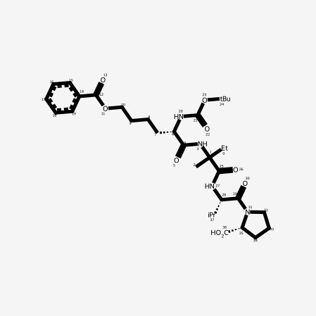 CCC(C)(NC(=O)[C@H](CCCCOC(=O)c1ccccc1)NC(=O)OC(C)(C)C)C(=O)N[C@H](C(=O)N1CCC[C@@H]1C(=O)O)C(C)C